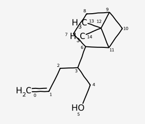 C=CCC(CO)C1CCC2CC1C2(C)C